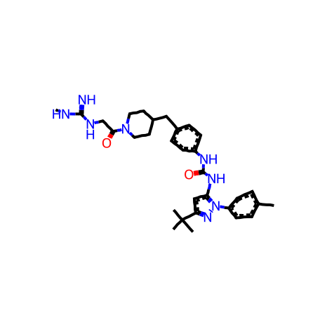 CNC(=N)NCC(=O)N1CCC(Cc2ccc(NC(=O)Nc3cc(C(C)(C)C)nn3-c3ccc(C)cc3)cc2)CC1